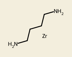 NCCCCN.[Zr]